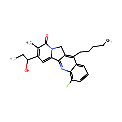 CCCCCc1c2c(nc3c(F)cccc13)-c1cc(C(O)CC)c(C)c(=O)n1C2